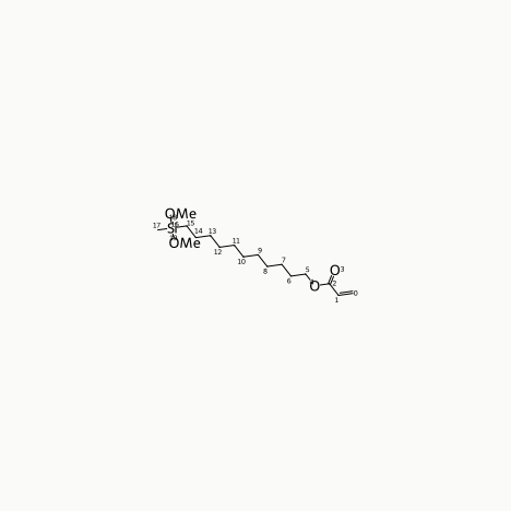 C=CC(=O)OCCCCCCCCCCC[Si](C)(OC)OC